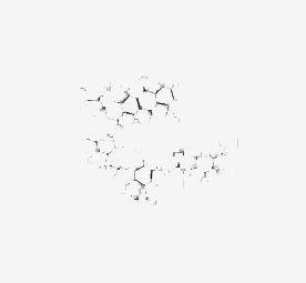 COc1cc(C(C)OC(=O)N2COC3C(C)OC(OC4CC(O)(C(=O)CO)Cc5c(O)c6c(c(O)c54)C(=O)c4c(OC)cccc4C6=O)CC32)c([N+](=O)[O-])cc1OCC(=O)NC1C(O)OC(CO)C(O)C1O